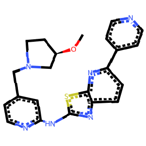 CO[C@@H]1CCN(Cc2ccnc(Nc3nc4ccc(-c5ccncc5)nc4s3)c2)C1